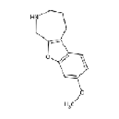 COc1ccc2c3c(oc2c1)CNCCC3